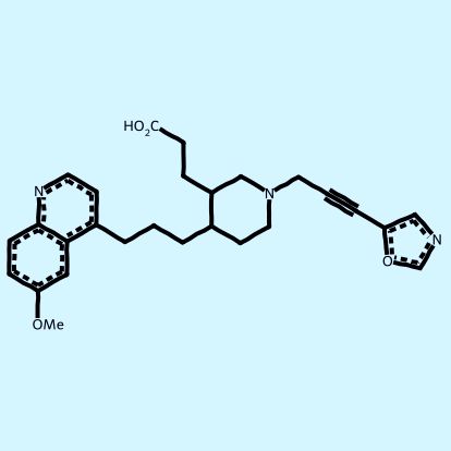 COc1ccc2nccc(CCCC3CCN(CC#Cc4cnco4)CC3CCC(=O)O)c2c1